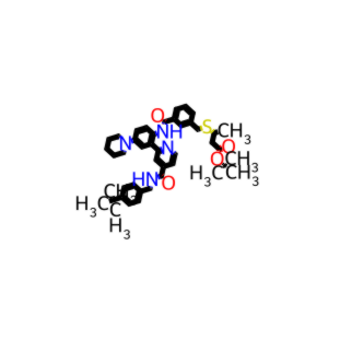 CC(CC(=O)OC(C)(C)C)SCc1cccc(C(=O)Nc2ccc(N3CCCCC3)cc2-c2cc(C(=O)NCc3ccc(C(C)(C)C)cc3)ccn2)c1